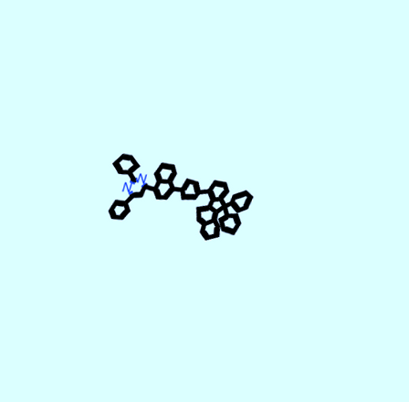 c1ccc(-c2cc(-c3ccc(-c4ccc(-c5cccc6c5-c5ccc7ccccc7c5C6(c5ccccc5)c5ccccc5)cc4)c4ccccc34)nc(-c3ccccc3)n2)cc1